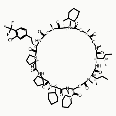 CC[C@H](C)[C@@H]1NC(=O)[C@H]([C@@H](C)CC)N(C)C(=O)C[C@@H](C(=O)N2CCCCC2)N(C)C(=O)[C@H](C2CCCCC2)N(C)C(=O)C2(CCCC2)NC(=O)[C@@H]2CCCN2C(=O)[C@H](CCc2ccc(C(F)(F)F)c(Cl)c2)NC(=O)CN(C)C(=O)[C@H](CC2CCCCC2)N(C)C(=O)CN(C)C(=O)CN(C)C1=O